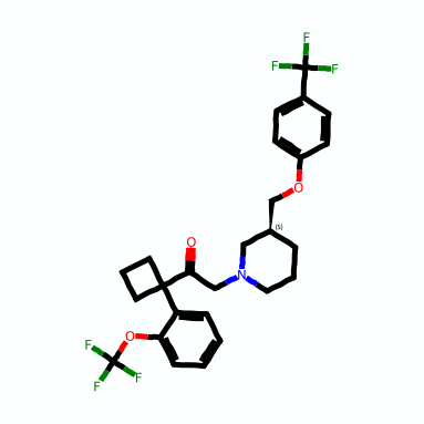 O=C(CN1CCC[C@H](COc2ccc(C(F)(F)F)cc2)C1)C1(c2ccccc2OC(F)(F)F)CCC1